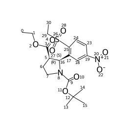 CCOC(=O)[C@@H]1CCN(C(=O)OC(C)(C)C)[C@@H]1c1cc([N+](=O)[O-])ccc1S(=O)(=O)CC